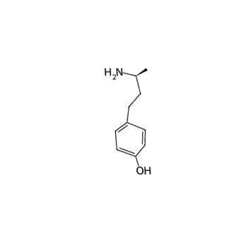 C[C@H](N)CCc1ccc(O)cc1